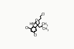 CC(C)CC1(CCCCCl)C(=O)Nc2c(Cl)cc(Cl)cc21